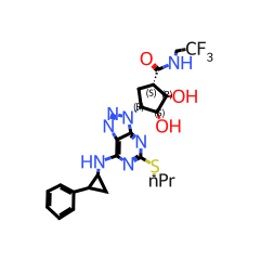 CCCSc1nc(NC2CC2c2ccccc2)c2nnn([C@@H]3C[C@H](C(=O)NCC(F)(F)F)[C@@H](O)[C@H]3O)c2n1